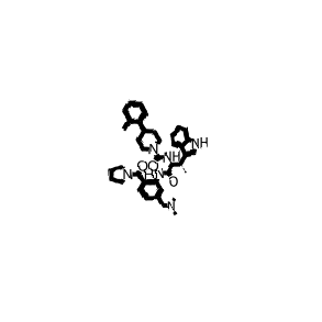 Cc1ccccc1C1CCN(C(=O)N[C@@H](C(=O)Nc2cc(CN(C)C)ccc2C(=O)N2CCCC2)[C@@H](C)c2c[nH]c3ccccc23)CC1